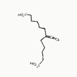 O=C=C(CCCCCC(=O)O)CCCCC(=O)O